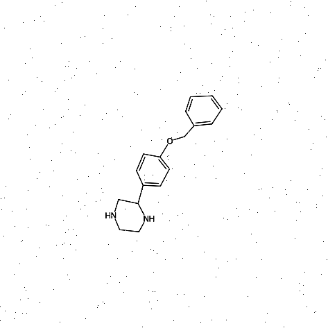 c1ccc(COc2ccc(C3CNCCN3)cc2)cc1